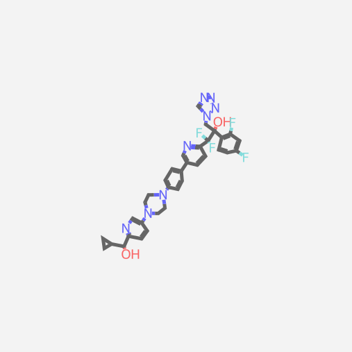 OC(c1ccc(N2CCN(c3ccc(-c4ccc(C(F)(F)C(O)(Cn5cnnn5)c5ccc(F)cc5F)nc4)cc3)CC2)cn1)C1CC1